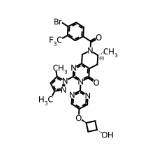 Cc1cc(C)n(-c2nc3c(c(=O)n2-c2ncc(O[C@H]4C[C@H](O)C4)cn2)C[C@@H](C)N(C(=O)c2ccc(Br)c(C(F)(F)F)c2)C3)n1